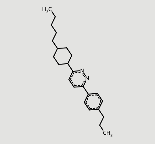 CCCCCC1CCC(c2ccc(-c3ccc(CCC)cc3)nn2)CC1